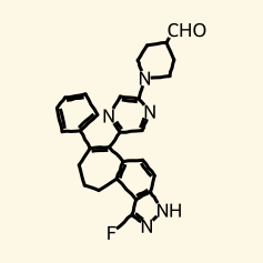 O=CC1CCN(c2cnc(C3=C(c4ccccc4)CCCc4c3ccc3[nH]nc(F)c43)cn2)CC1